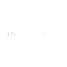 CC(N)CCSC(C)C